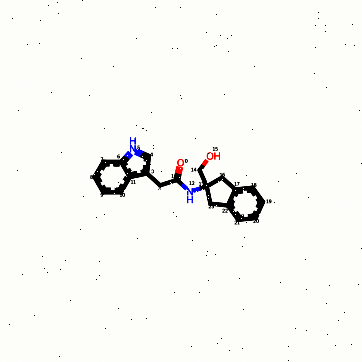 O=C(Cc1c[nH]c2ccccc12)NC1(CO)Cc2ccccc2C1